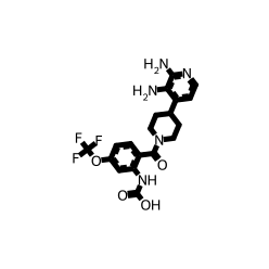 Nc1nccc(C2CCN(C(=O)c3ccc(OC(F)(F)F)cc3NC(=O)O)CC2)c1N